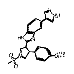 COc1ccc([C@H]2CN(S(C)(=O)=O)CC2c2nc3cc(-c4cn[nH]c4)ccc3[nH]2)cc1